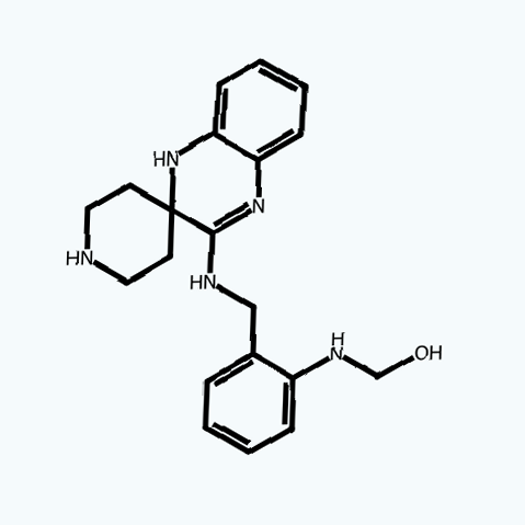 OCNc1ccccc1CNC1=Nc2ccccc2NC12CCNCC2